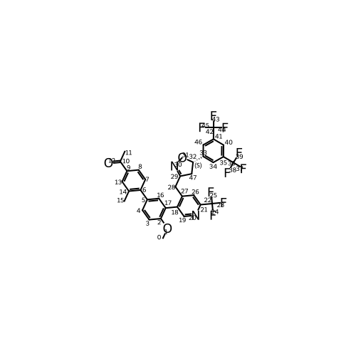 COc1ccc(-c2ccc(C(C)=O)cc2C)cc1-c1cnc(C(F)(F)F)cc1CC1=NO[C@H](c2cc(C(F)(F)F)cc(C(F)(F)F)c2)C1